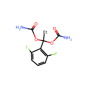 CCC(OC(N)=O)(OC(N)=O)c1c(F)cccc1F